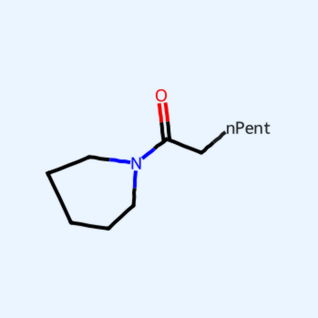 [CH2]CCCCCC(=O)N1CCCCC1